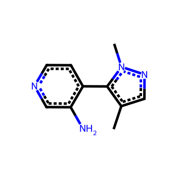 Cc1cnn(C)c1-c1ccncc1N